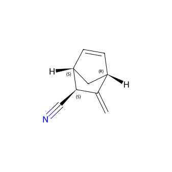 C=C1[C@@H](C#N)[C@@H]2C=C[C@H]1C2